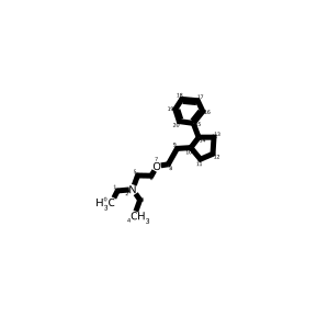 CCN(CC)CCOCCC1CCCC1c1ccccc1